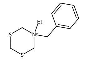 CC[N+]1(Cc2ccccc2)CSCSC1